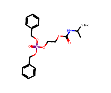 CCCCCCC(C)NC(=O)OCCOP(=O)(OCc1ccccc1)OCc1ccccc1